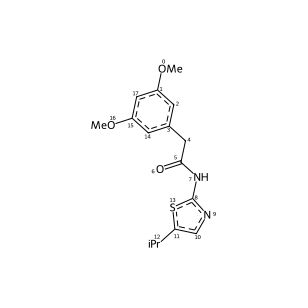 COc1cc(CC(=O)Nc2ncc(C(C)C)s2)cc(OC)c1